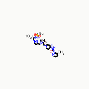 CCCCS(=O)(=O)NC(CN1CCC(CN(C)C(=O)CN2CCC(NC(=O)Nc3ncccc3C)CC2)=N1)C(=O)O